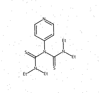 CCN(CC)C(=S)N(C(=S)N(CC)CC)c1ccncc1